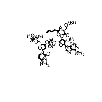 C=CCCC(=O)N(C)[C@@H](COC(C)(C)C)C(=O)O[C@@H]1[C@@H](COP(=O)(O)OC2CC(n3ccc(N)nc3=O)O[C@@H]2COP(=O)(O)O)OC(n2cnc3c(N)ncnc32)[C@@H]1O